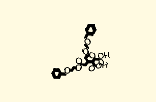 O=C(O)CC(C(=O)O)=C(CC(=O)OCCOCc1ccccc1)CC(=O)OCCOCc1ccccc1